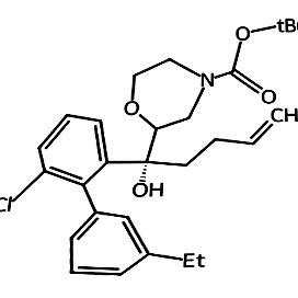 C=CCC[C@@](O)(c1cccc(Cl)c1-c1cccc(CC)c1)C1CN(C(=O)OC(C)(C)C)CCO1